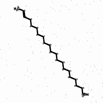 C/C=C/CCCCCCCCCCCCCCCCCCCCCCCCCCC